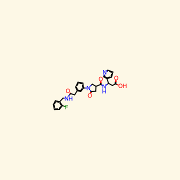 O=C(O)CC(NC(=O)C1CC(=O)N(c2cccc(CC(=O)NCc3ccccc3F)c2)C1)c1cccnc1